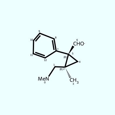 CNC[C@]1(C)C[C@@]1([C]=O)c1ccccc1